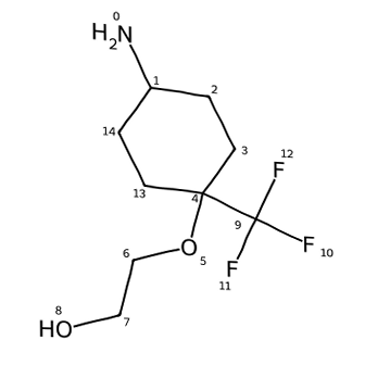 NC1CCC(OCCO)(C(F)(F)F)CC1